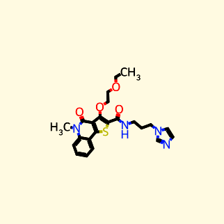 CCOCCOc1c(C(=O)NCCCn2ccnc2)sc2c1c(=O)n(C)c1ccccc21